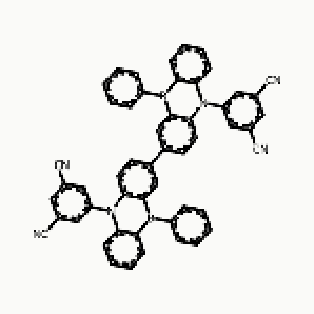 N#Cc1cc(C#N)cc(N2c3ccccc3B(c3ccccc3)c3cc(-c4ccc5c(c4)B(c4ccccc4)c4ccccc4N5c4cc(C#N)cc(C#N)c4)ccc32)c1